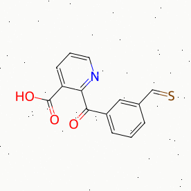 O=C(O)c1cccnc1C(=O)c1cccc(C=S)c1